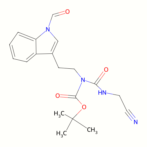 CC(C)(C)OC(=O)N(CCc1cn(C=O)c2ccccc12)C(=O)NCC#N